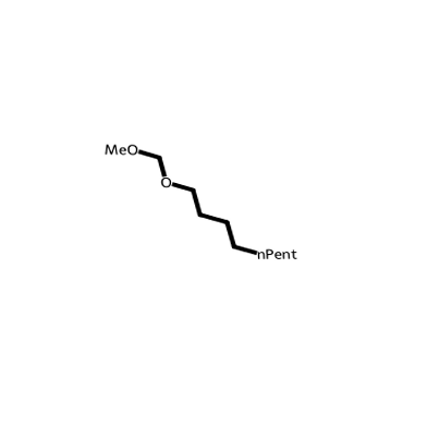 CCCCCCCCCOCOC